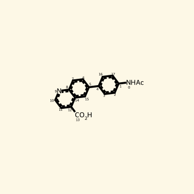 CC(=O)Nc1ccc(-c2ccc3nccc(C(=O)O)c3c2)cc1